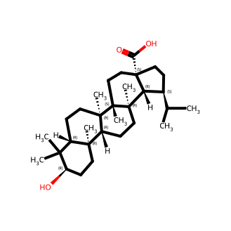 CC(C)[C@@H]1CC[C@]2(C(=O)O)CC[C@@]3(C)[C@]4(C)CC[C@H]5C(C)(C)[C@H](O)CC[C@]5(C)[C@H]4CC[C@]3(C)[C@@H]12